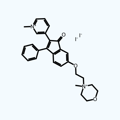 C[n+]1cccc(C2=C(c3ccccc3)c3ccc(OCC[N+]4(C)CCOCC4)cc3C2=O)c1.[I-].[I-]